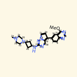 COc1ncnc2ccc(-c3ccn4nc(N[C@H]5C[C@H](N6CCN(C)CC6)C5)ncc34)cc12